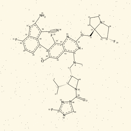 CC(C)[C@@H]1[C@H](CN(C)c2nc(OC[C@@]34CCCN3C[C@H](F)C4)nc3c(F)c(-c4ccc(F)c5sc(N)c(C#N)c45)c(Cl)cc23)CN1C(=O)n1cnc(F)n1